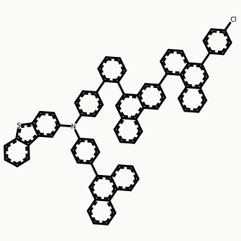 Clc1ccc(-c2cc3ccccc3c3c(-c4ccc5c(c4)c(-c4ccccc4-c4ccc(N(c6ccc(-c7cc8ccccc8c8ccccc78)cc6)c6ccc7sc8ccccc8c7c6)cc4)cc4ccccc45)cccc23)cc1